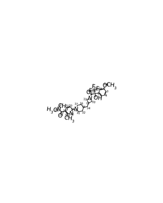 COc1cccc(C(O)(C(=O)N2CC(CC3CCN(c4ccc(C(=O)N(C)C)c(C)n4)CC3)C2)C(F)(F)F)c1